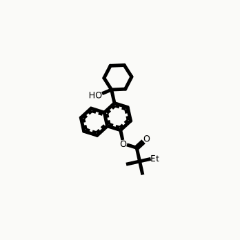 CCC(C)(C)C(=O)Oc1ccc(C2(O)CCCCC2)c2ccccc12